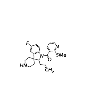 C=CCC1N(C(=O)c2cccnc2SC)c2ccc(F)cc2C12CCNCC2